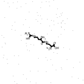 N=C(N)NCCCC(N)C(=O)NCCC(N)C(=O)O